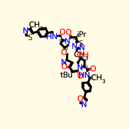 Cc1nsc([C@H](C(=O)N2C[C@H](OCc3cc([C@H](C(=O)N4C[C@H](O)C[C@H]4C(=O)N[C@@H](C)c4ccc(-c5cnco5)cc4)C(C)(C)C)on3)C[C@H]2C(=O)NCc2ccc(-c3scnc3C)cc2)C(C)C)n1